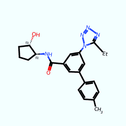 CCc1nnnn1-c1cc(C(=O)N[C@H]2CCC[C@@H]2O)cc(-c2ccc(C)cc2)c1